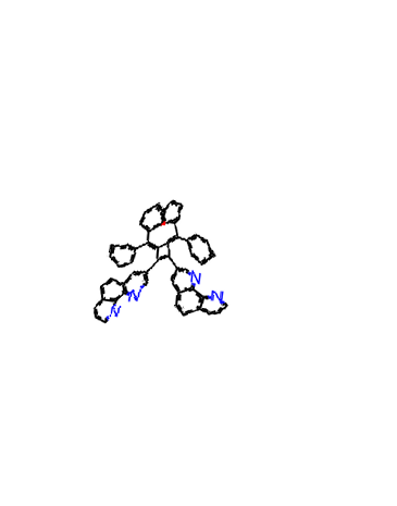 c1ccc(C(=C2C(=C(c3ccccc3)c3ccccc3)C(c3cnc4c(ccc5cccnc54)c3)=C2c2cnc3c(ccc4cccnc43)c2)c2ccccc2)cc1